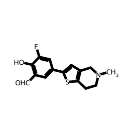 CN1CCc2sc(-c3cc(F)c(O)c(C=O)c3)cc2C1